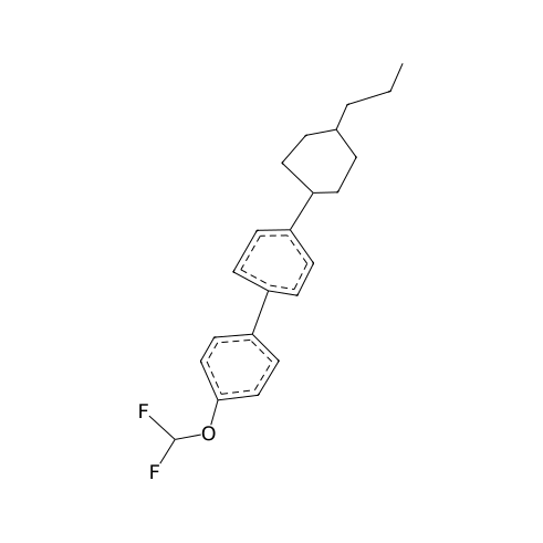 CCCC1CCC(c2ccc(-c3ccc(OC(F)F)cc3)cc2)CC1